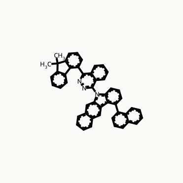 CC1(C)c2ccccc2-c2c(-c3nnc(-n4c5cc6ccccc6cc5c5c(-c6cccc7ccccc67)cccc54)c4ccccc34)cccc21